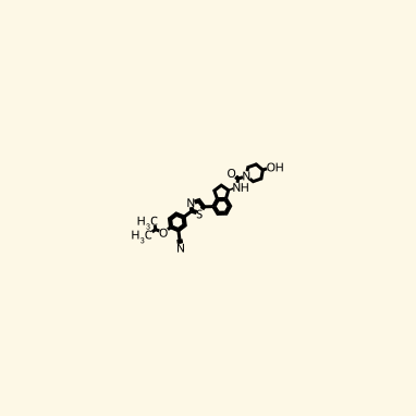 CC(C)Oc1ccc(-c2ncc(-c3cccc4c3CC[C@H]4NC(=O)N3CCC(O)CC3)s2)cc1C#N